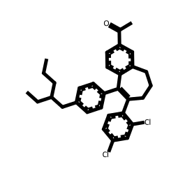 CCCC(CC)Cc1ccc(C2=C(c3ccc(Cl)cc3Cl)CCCc3cc(C(C)=O)ccc32)cc1